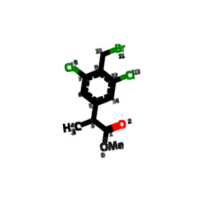 COC(=O)C(C)c1cc(Cl)c(CBr)c(Cl)c1